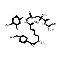 COc1ccc(C[C@@H](NC(=O)/C=C/CC[C@H](C)C2OC2c2ccc(CO)cc2)C(=O)NCC(C)(C)C(=O)N[C@H](C(=O)O)C(C)(C)C)cc1Cl